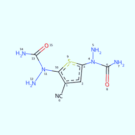 N#Cc1cc(N(N)C(N)=O)sc1N(N)C(N)=O